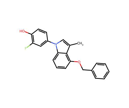 Cc1cn(-c2ccc(O)c(F)c2)c2cccc(OCc3ccccc3)c12